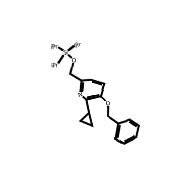 CC(C)[Si](OCc1ccc(OCc2ccccc2)c(C2CC2)n1)(C(C)C)C(C)C